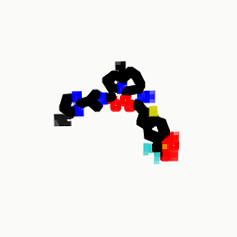 N#Cc1ccnc(C2CN(C(=O)[C@@H]3CC[C@@H]4CCC[C@H](NC(=O)c5cc6cc(C(F)(F)P(=O)(O)O)ccc6s5)C(=O)N43)C2)n1